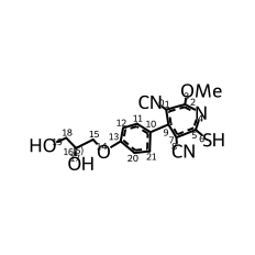 [C-]#[N+]c1c(OC)nc(S)c(C#N)c1-c1ccc(OC[C@@H](O)CO)cc1